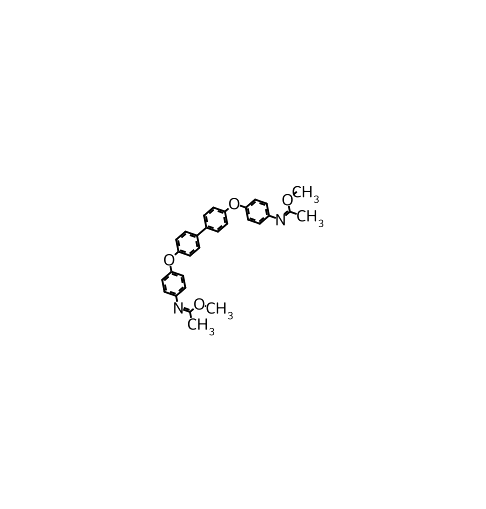 CO/C(C)=N\c1ccc(Oc2ccc(-c3ccc(Oc4ccc(/N=C(/C)OC)cc4)cc3)cc2)cc1